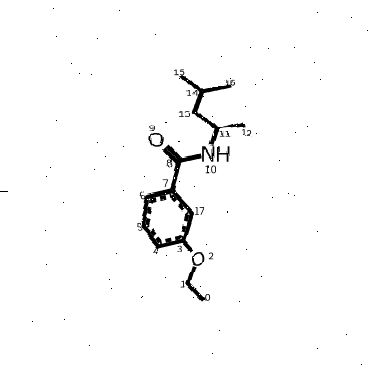 CCOc1cccc(C(=O)N[C@H](C)CC(C)C)c1